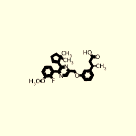 COc1cccc(-c2ncc(COc3cccc([C@H](C)CC(=O)O)c3)nc2C2=CCCC2(C)C)c1F